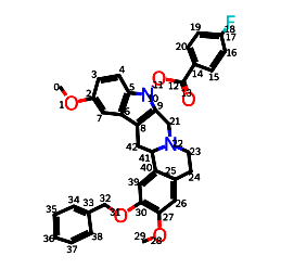 COc1ccc2c(c1)c1c(n2OC(=O)c2ccc(F)cc2)CN2CCc3cc(OC)c(OCc4ccccc4)cc3C2C1